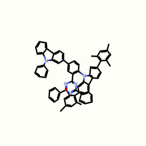 Cc1cc(C)c(-c2ccc3c4ccc(-c5c(C)cc(C)cc5C)cc4n(-c4ccc(-c5ccc6c7ccccc7n(-c7ccccc7)c6c5)cc4-c4nc(-c5ccccc5)nc(-c5ccccc5)n4)c3c2)c(C)c1